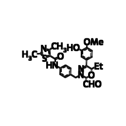 CCC1OC(C=O)N(Cc2ccc(NC(=O)c3sc(C)nc3C)cc2)N=C1c1ccc(OC)c(O)c1